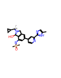 Cc1cnc(-c2cc(-c3cc4c(c(N=S(C)(C)=O)c3)C(O)N([C@@H](C)C3CC3)C4)ccn2)[nH]1